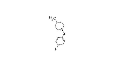 CC1=CCN(Sc2ccc(F)cc2)CC1